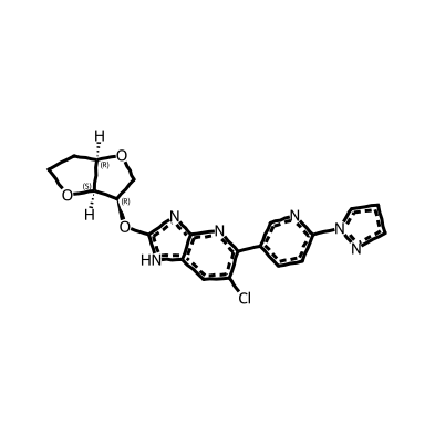 Clc1cc2[nH]c(O[C@@H]3CO[C@@H]4CCO[C@@H]43)nc2nc1-c1ccc(-n2cccn2)nc1